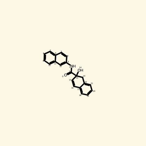 O=C(Nc1ccc2ccccc2c1)C1(O)C=Cc2ccccc2C1